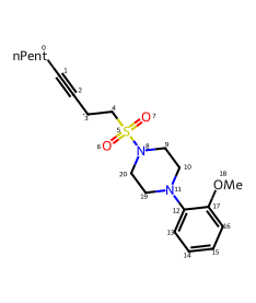 CCCCCC#C[CH]CS(=O)(=O)N1CCN(c2ccccc2OC)CC1